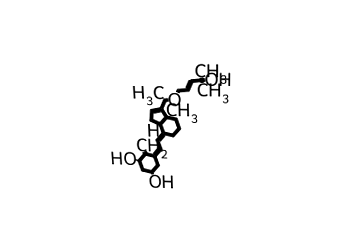 C=C1C(=CC=C2CCC[C@]3(C)C([C@H](C)OC/C=C/C(C)(C)O)=CC[C@@H]23)C[C@@H](O)C[C@@H]1O